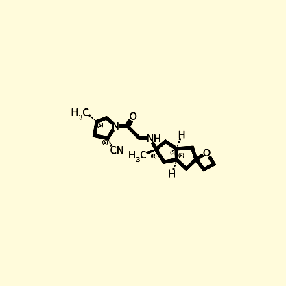 C[C@H]1C[C@@H](C#N)N(C(=O)CN[C@]2(C)C[C@H]3CC4(CCO4)C[C@H]3C2)C1